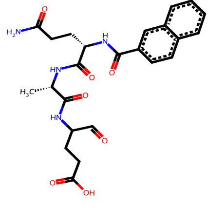 C[C@H](NC(=O)[C@H](CCC(N)=O)NC(=O)c1ccc2ccccc2c1)C(=O)NC(C=O)CCC(=O)O